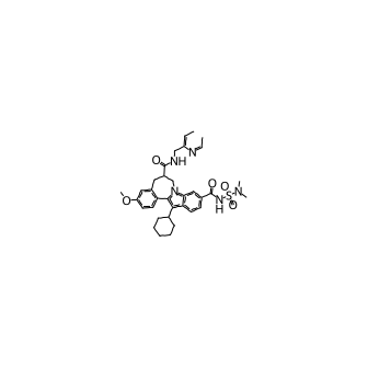 C/C=N\C(=C/C)CNC(=O)C1Cc2cc(OC)ccc2-c2c(C3CCCCC3)c3ccc(C(=O)NS(=O)(=O)N(C)C)cc3n2C1